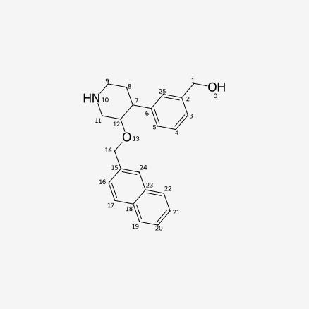 OCc1cccc(C2CCNCC2OCc2ccc3ccccc3c2)c1